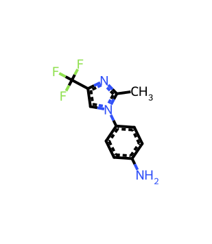 Cc1nc(C(F)(F)F)cn1-c1ccc(N)cc1